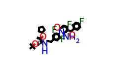 C=C(OC1CCCC1)[C@H](COC(C)(C)C)NCCc1cc(F)c(-n2c(N)c(C(=O)c3ccc(F)cc3F)ccc2=O)c(F)c1